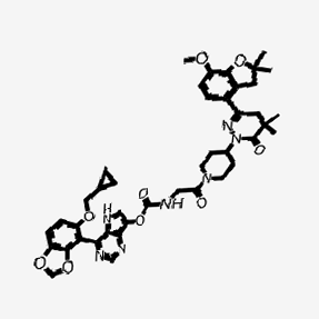 COc1ccc(C2=NN(C3CCN(C(=O)CNC(=O)Oc4c[nH]c5c(-c6c(OCC7CC7)ccc7c6OCO7)ncnc45)CC3)C(=O)C(C)(C)C2)c2c1OC(C)(C)C2